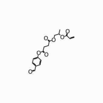 C=CC(=O)OC(C)COC(=O)CCC(=O)Oc1ccc(C=O)cc1